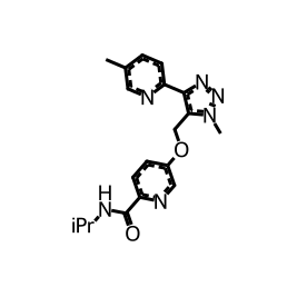 Cc1ccc(-c2nnn(C)c2COc2ccc(C(=O)NC(C)C)nc2)nc1